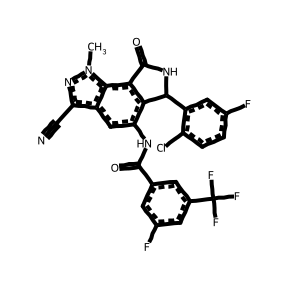 Cn1nc(C#N)c2cc(NC(=O)c3cc(F)cc(C(F)(F)F)c3)c3c(c21)C(=O)NC3c1cc(F)ccc1Cl